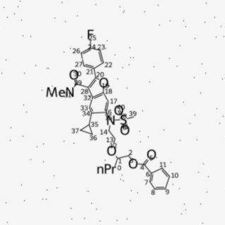 CCCC(COC(=O)c1ccccc1)OCCN(c1cc2oc(-c3ccc(F)cc3)c(C(=O)NC)c2cc1C1CC1)S(C)(=O)=O